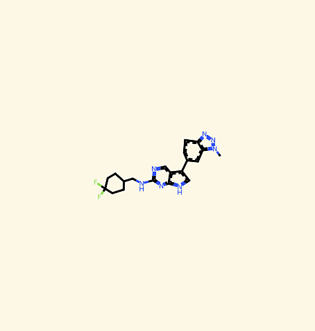 Cn1nnc2ccc(-c3c[nH]c4nc(NCC5CCC(F)(F)CC5)ncc34)cc21